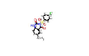 Cc1ccc2[nH]c(=O)n(S(=O)(=O)c3ccc(Cl)cc3)c(=O)c2c1